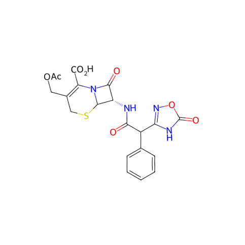 CC(=O)OCC1=C(C(=O)O)N2C(=O)[C@H](NC(=O)C(c3ccccc3)c3noc(=O)[nH]3)C2SC1